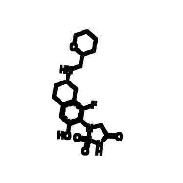 O=C1CN(c2c(O)cc3c(c2F)C[C@H](NCC2CCCCO2)CC3)S(=O)(=O)N1